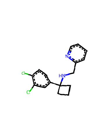 Clc1ccc(C2(NCc3ccccn3)CCC2)cc1Cl